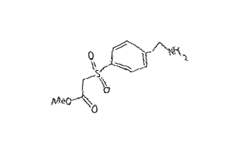 COC(=O)CS(=O)(=O)c1ccc(CN)cc1